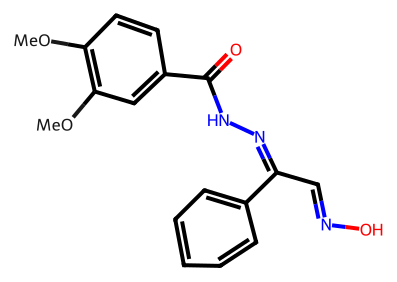 COc1ccc(C(=O)NN=C(C=NO)c2ccccc2)cc1OC